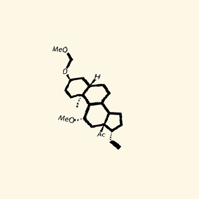 C=C[C@H]1CCC2C3CC[C@H]4C[C@H](OCOC)CC[C@]4(C)C3[C@@H](OC)C[C@]21C(C)=O